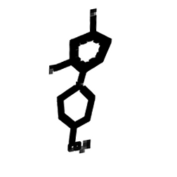 O=C(O)C1CCN(c2ccc(F)cc2F)CC1